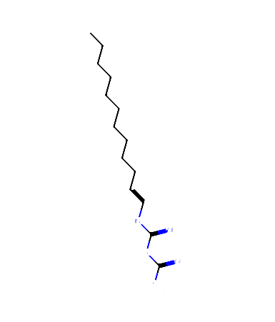 CCCCCCCCCCC=CNC(=N)NC(=N)N